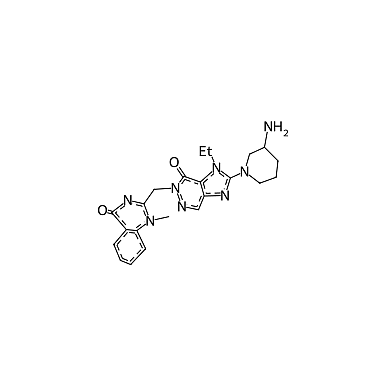 CCn1c(N2CCCC(N)C2)nc2cnn(Cc3nc(=O)c4ccccc4n3C)c(=O)c21